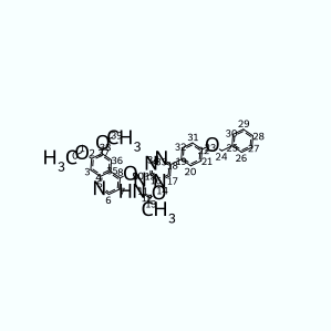 COc1cc2nccc(ON(NC(C)=O)c3ncc(-c4ccc(OCc5ccccc5)cc4)nn3)c2cc1OC